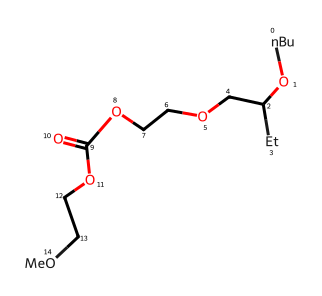 CCCCOC(CC)COCCOC(=O)OCCOC